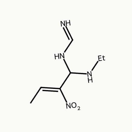 C/C=C(/C(NC=N)NCC)[N+](=O)[O-]